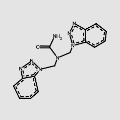 NC(=O)N(Cn1nnc2ccccc21)Cn1nnc2ccccc21